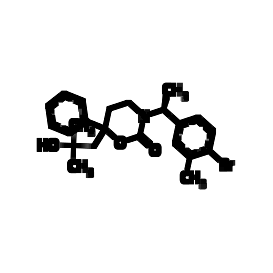 Cc1cc([C@H](C)N2CCC(CC(C)(C)O)(c3ccccc3)OC2=O)ccc1Br